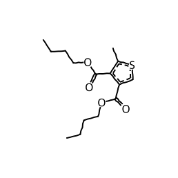 CCCCOC(=O)c1csc(C)c1C(=O)OCCCC